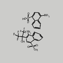 Nc1c(C(O)(C(F)(F)F)C(F)(F)F)cc(S(=O)(=O)O)c2ccccc12.Nc1ccc(S(=O)(=O)O)c2ccccc12